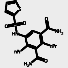 CCCc1c(NS(=O)(=O)c2cccs2)cc(C(N)=O)c(CCC)c1C(N)=O